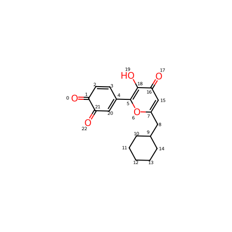 O=C1C=CC(c2oc(CC3CCCCC3)cc(=O)c2O)=CC1=O